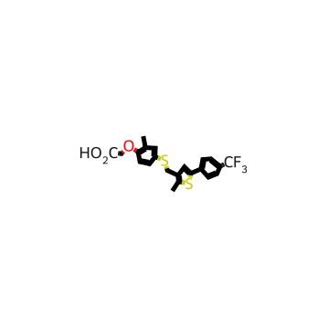 Cc1cc(SCc2cc(-c3ccc(C(F)(F)F)cc3)sc2C)ccc1OCC(=O)O